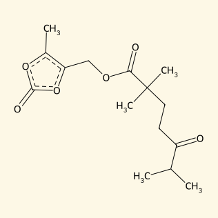 Cc1oc(=O)oc1COC(=O)C(C)(C)CCC(=O)C(C)C